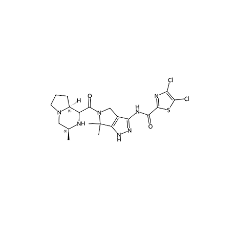 C[C@H]1CN2CCC[C@H]2C(C(=O)N2Cc3c(NC(=O)c4nc(Cl)c(Cl)s4)n[nH]c3C2(C)C)N1